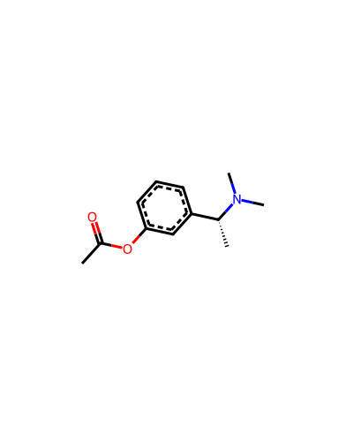 CC(=O)Oc1cccc([C@@H](C)N(C)C)c1